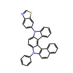 c1ccc(-n2c3ccc4ccccc4c3c3c4c5ccccc5n(-c5ccc6ncsc6c5)c4ccc32)cc1